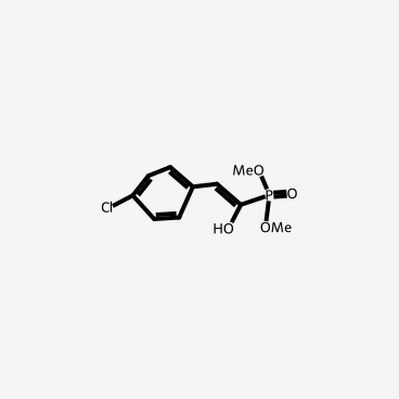 COP(=O)(OC)/C(O)=C/c1ccc(Cl)cc1